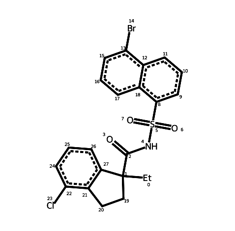 CCC1(C(=O)NS(=O)(=O)c2cccc3c(Br)cccc23)CCc2c(Cl)cccc21